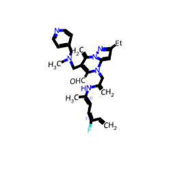 C=C/C(F)=C\C=C(/C)NC(=C)CN1C(C=O)=C(CN(C)Cc2ccncc2)C(=C)n2nc(CC)cc21